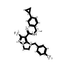 C[C@H](NC(=O)c1c(C(F)(F)F)nn2c1N(Cc1ccc(C(F)(F)F)cc1)CC2)c1ccc(C2CC2)cc1